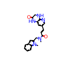 CN(Cc1cc2ccccc2n1C)C(=O)C=Cc1cnc2c(c1)NC(=O)CN2